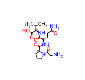 CC(C)[C@H](NC(=O)[C@H](CCC(N)=O)NC(=O)[C@@H]1CCCN1C(=O)CN)C(=O)O